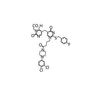 O=C(O)Cn1cc(Cc2cn(CCCC(=O)N3CCN(c4ccc(Cl)c(Cl)c4)CC3)c(SCc3ccc(F)cc3)nc2=O)cnc1=O